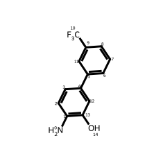 Nc1ccc(-c2cccc(C(F)(F)F)c2)cc1O